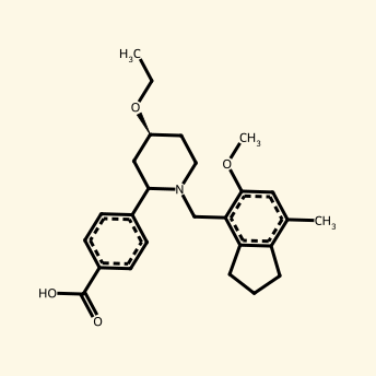 CCO[C@H]1CCN(Cc2c(OC)cc(C)c3c2CCC3)C(c2ccc(C(=O)O)cc2)C1